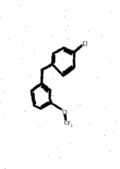 FC(F)(F)Oc1cccc(Cc2ccc(Cl)cc2)c1